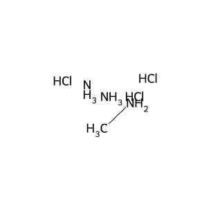 CN.Cl.Cl.Cl.N.N